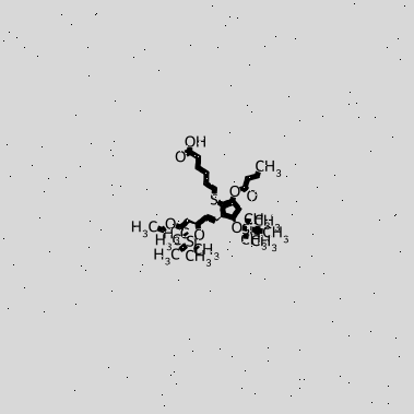 CCCC(=O)OC1=C(SCCCCCC(=O)O)[C@@H](/C=C/[C@H](CCOCC)O[Si](C)(C)C(C)(C)C)[C@H](O[Si](C)(C)C(C)(C)C)C1